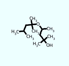 CC(C)CC(C)(C)OC(C)CC(C)(C)O